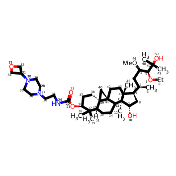 CCO[C@@H](C(C[C@@H](C)[C@H]1C[C@H](O)[C@@]2(C)C3CC[C@H]4C(C)(C)[C@@H](OC(=O)NCCN5CCN(C6COC6)CC5)CC[C@@]45C[C@@]35CC[C@]12C)OC)C(C)(C)O